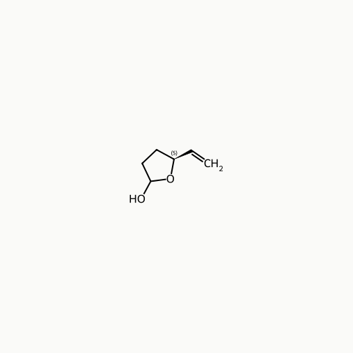 C=C[C@@H]1CCC(O)O1